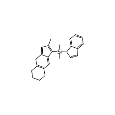 CC1=C([Si](C)(C)C2C=Cc3ccccc32)C2=CC3=C(CCCC3)CC2=C1